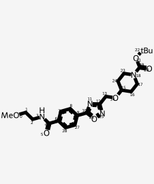 COCCNC(=O)c1ccc(-c2nc(COC3CCN(C(=O)OC(C)(C)C)CC3)no2)cc1